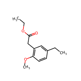 CCOC(=O)Cc1cc(CC)ccc1OC